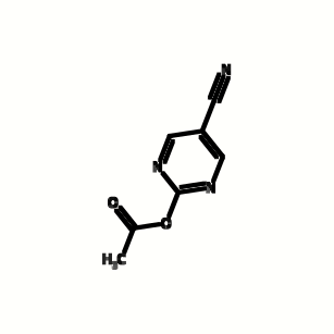 CC(=O)Oc1ncc(C#N)cn1